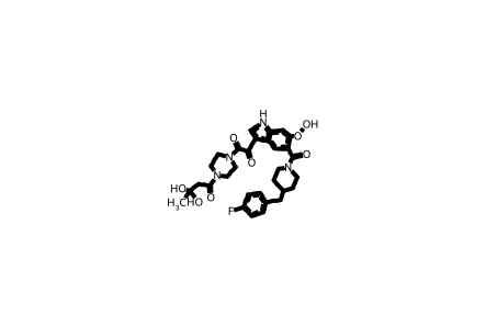 CC(O)(O)CC(=O)N1CCN(C(=O)C(=O)c2c[nH]c3cc(OO)c(C(=O)N4CCC(Cc5ccc(F)cc5)CC4)cc23)CC1